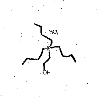 CCCC[PH](CCO)(CCCC)CCCC.Cl